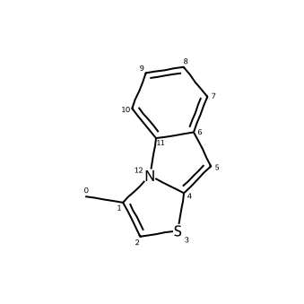 Cc1csc2cc3ccccc3n12